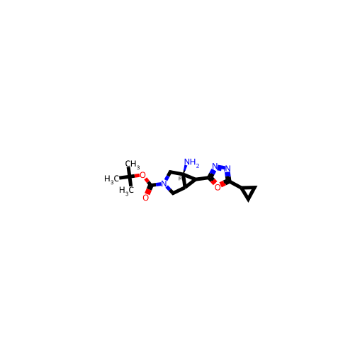 CC(C)(C)OC(=O)N1CC2C(c3nnc(C4CC4)o3)[C@@]2(N)C1